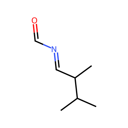 CC(C)C(C)C=NC=O